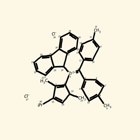 CC1=[C]([Zr+2](=[C](c2ccc(C)cc2)c2ccc(C)cc2)[CH]2c3ccccc3-c3ccccc32)C(C)C=C1C(C)C.[Cl-].[Cl-]